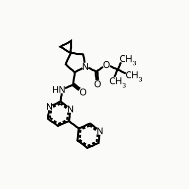 CC(C)(C)OC(=O)N1CC2(CC2)CC1C(=O)Nc1nccc(-c2cccnc2)n1